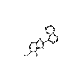 CC(=O)Oc1ccc2nc(-c3nccc4ccccc34)oc2c1F